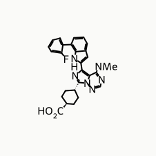 CNc1ncnn2c1c(-c1cc3cccc(-c4ccccc4F)c3[nH]1)nc2[C@H]1CC[C@H](C(=O)O)CC1